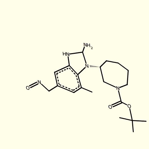 Cc1cc(CN=O)cc2c1N([C@@H]1CCCCN(C(=O)OC(C)(C)C)C1)C(N)N2